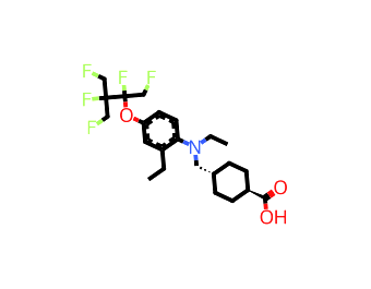 CCc1cc(OC(F)(CF)C(F)(CF)CF)ccc1N(CC)C[C@H]1CC[C@H](C(=O)O)CC1